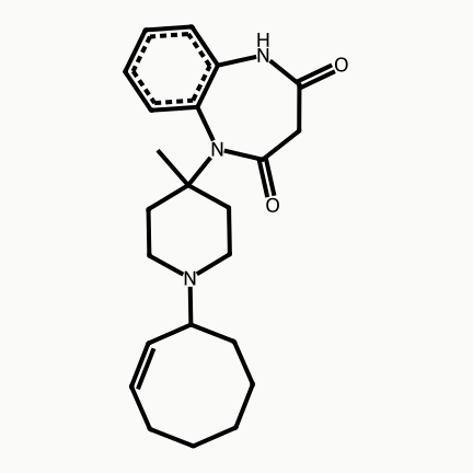 CC1(N2C(=O)CC(=O)Nc3ccccc32)CCN(C2C=CCCCCC2)CC1